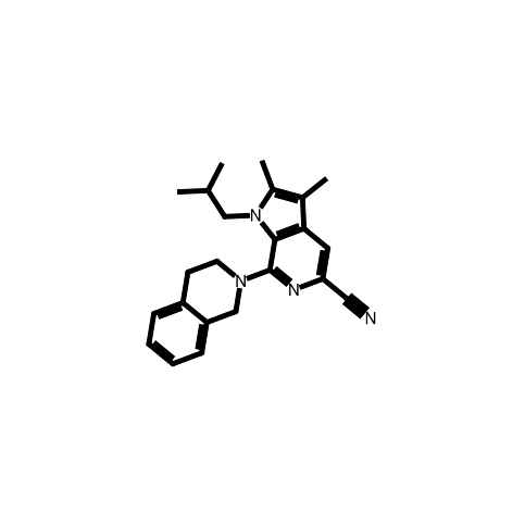 Cc1c(C)n(CC(C)C)c2c(N3CCc4ccccc4C3)nc(C#N)cc12